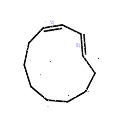 [CH]1C/C=C/C=C\CCCCC1